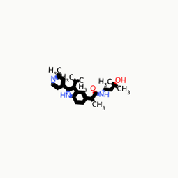 Cc1cc(-c2[nH]c3ccc(C(C)C(=O)NCCC(C)(C)O)cc3c2C(C)C)ccn1